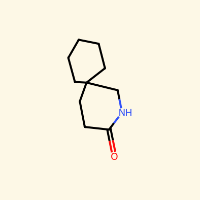 O=C1CCC2(CCCCC2)CN1